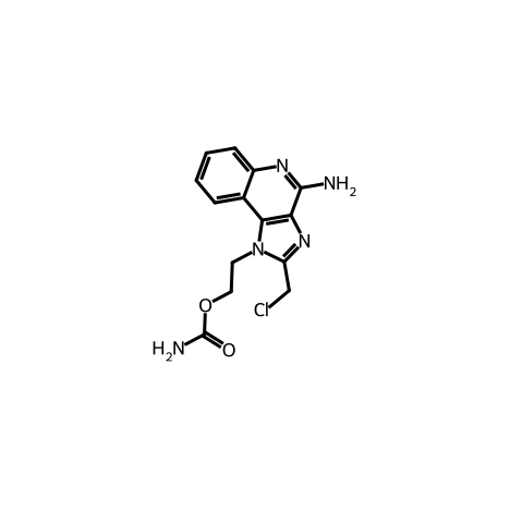 NC(=O)OCCn1c(CCl)nc2c(N)nc3ccccc3c21